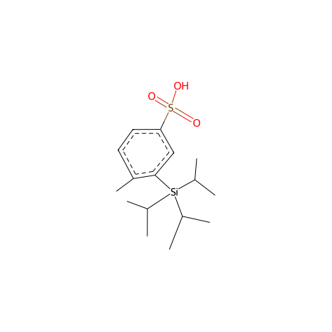 Cc1ccc(S(=O)(=O)O)cc1[Si](C(C)C)(C(C)C)C(C)C